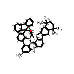 Cc1cc2c3c(c1)-c1cccc4c1N(B3c1c(ccc3c1sc1cc5c(cc13)C(C)(C)CCC5(C)C)N2)c1ccccc1C41c2ccccc2-c2ccccc21